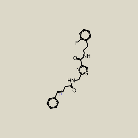 O=C(C/C=C/c1ccccc1)NCc1nc(C(=O)NCCc2ccccc2F)cs1